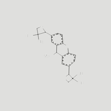 COC1c2cc(C3OCC3(C)C)ccc2Oc2ccc(C3OCC3(C)C)cc21